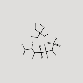 CC[N+](CC)(CC)CC.O=S(=O)([O-])C(F)C(F)(F)C(F)(F)C(F)C(F)C(F)F